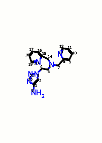 Nc1cn(CCN(Cc2ccccn2)Cc2ccccn2)nn1